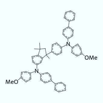 COc1ccc(N(c2ccc(-c3ccccc3)cc2)c2ccc(C3(C)CC(C)(C)c4ccc(N(c5ccc(OC)cc5)c5ccc(-c6ccccc6)cc5)cc43)cc2)cc1